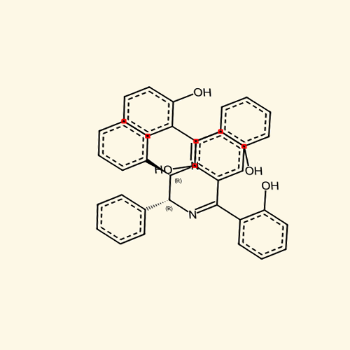 Oc1ccccc1C(=N[C@H](c1ccccc1)[C@H](N=C(c1ccccc1O)c1ccccc1O)c1ccccc1)c1ccccc1O